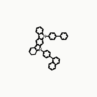 C1=Cc2c(n(-c3ccc(-c4cccc5ccccc45)cc3)c3cc4c(cc23)c2ccccc2n4-c2ccc(-c3ccccc3)cc2)CC1